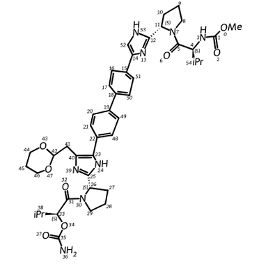 COC(=O)N[C@H](C(=O)N1CCC[C@H]1c1nc(-c2ccc(-c3ccc(-c4[nH]c([C@@H]5CCCN5C(=O)[C@@H](OC(N)=O)C(C)C)nc4CC4OCCCO4)cc3)cc2)c[nH]1)C(C)C